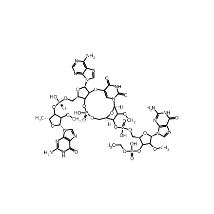 CCOP(=O)(O)OC1C(OC)[C@H](n2cnc3c(=O)[nH]c(N)nc32)O[C@@H]1COP(=O)(O)OC1C(OC)[C@H]2O[C@@H]1COP(=O)(O)OC1C(Oc3cn2c(=O)[nH]c3=O)[C@H](n2cnc3c(N)ncnc32)O[C@@H]1COP(=O)(O)OC1C(OC)[C@H](n2cnc3c(=O)[nH]c(N)nc32)O[C@@H]1C